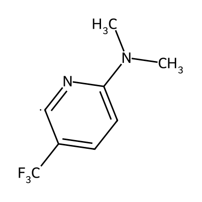 CN(C)c1ccc(C(F)(F)F)[c]n1